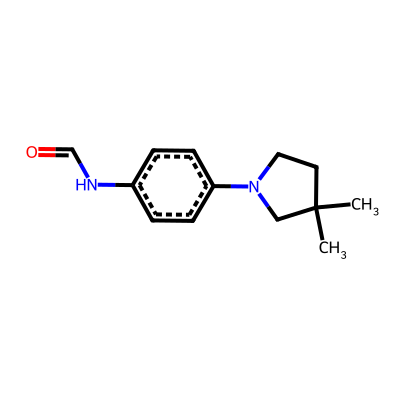 CC1(C)CCN(c2ccc(NC=O)cc2)C1